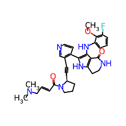 COc1c(F)cccc1Nc1c(-c2ccncc2C#C[C@H]2CCCN2C(=O)/C=C/CN(C)C)[nH]c2c1C(=O)NCC2